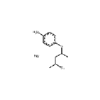 CC(S)CC(C)Oc1ccc(N)cc1.Cl